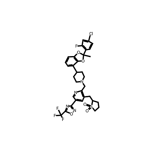 CC1(c2ccc(Cl)cc2F)Oc2cccc(C3CCN(Cc4ncc(-c5noc(C(F)(F)F)n5)cc4CC4CCCS4(=O)=O)CC3)c2O1